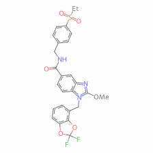 CCS(=O)(=O)c1ccc(CNC(=O)c2ccc3c(c2)nc(OC)n3Cc2cccc3c2OC(F)(F)O3)cc1